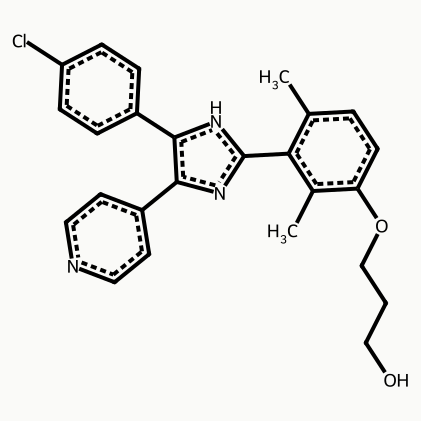 Cc1ccc(OCCCO)c(C)c1-c1nc(-c2ccncc2)c(-c2ccc(Cl)cc2)[nH]1